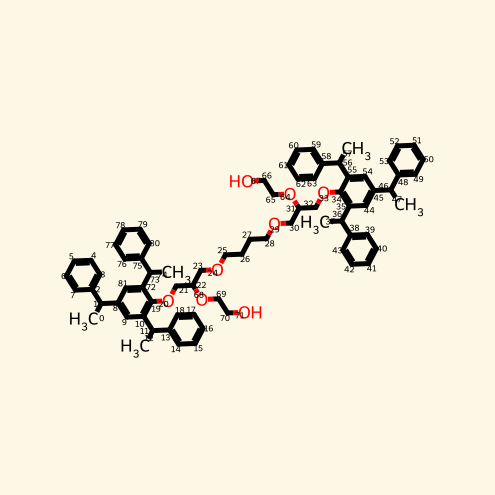 CC(c1ccccc1)c1cc(C(C)c2ccccc2)c(OCC(COCCCCOCC(COc2c(C(C)c3ccccc3)cc(C(C)c3ccccc3)cc2C(C)c2ccccc2)OCCO)OCCO)c(C(C)c2ccccc2)c1